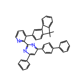 CC1(C)c2ccccc2-c2cc(-c3cccnc3-c3nc(-c4ccccc4)cc(-c4ccc(-c5ccccc5)cc4)n3)ccc21